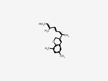 C/C(=C/C=C/C(C)=C/C(=O)O)C1=Cc2cc(C)cc(C)c2OC1